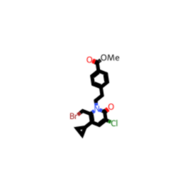 COC(=O)c1ccc(CCn2c(CBr)c(C3CC3)cc(Cl)c2=O)cc1